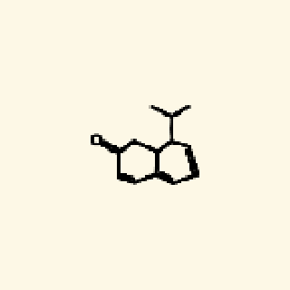 CC(C)C1C=CC=C2C=CC(=O)CC21